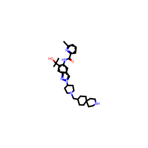 Cc1cccc(C(=O)Nc2cc3cn(C4CCN(CC5CCC6(CCNCC6)CC5)CC4)nc3cc2C(C)(C)O)n1